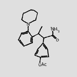 CC(=O)Oc1ccc(C(C(N)=O)C(C)c2ccccc2N2CCCCC2)cc1